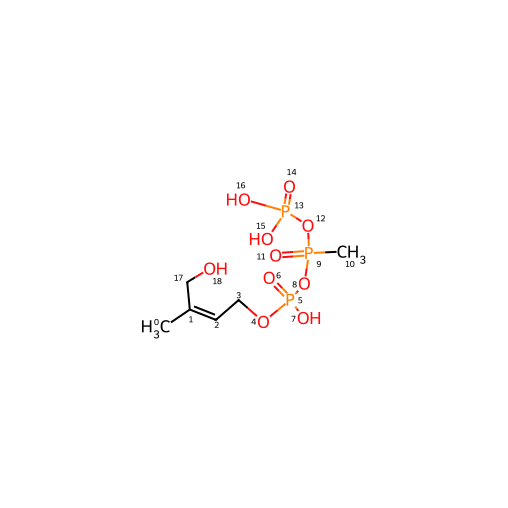 CC(=CCOP(=O)(O)OP(C)(=O)OP(=O)(O)O)CO